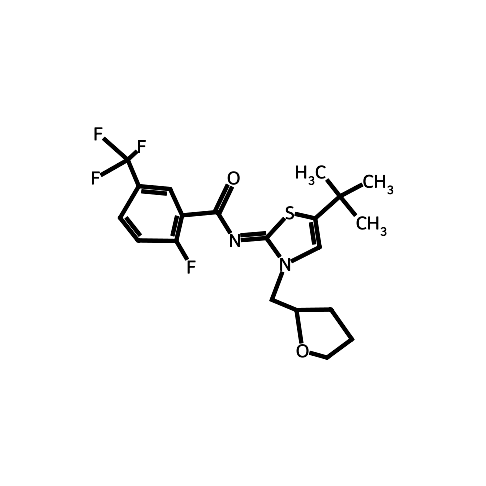 CC(C)(C)c1cn(CC2CCCO2)/c(=N/C(=O)c2cc(C(F)(F)F)ccc2F)s1